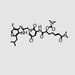 CC(C)Cc1ncc(F)c2nc(Cn3cc(Cl)cc(NC(=O)C(CC/C=C/C(=O)N(C)C)OC(=O)N(C)C)c3=O)[nH]c12